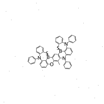 Cc1c2c(cc3c1N(c1ccccc1)c1cccc4c1B3Sc1ccccc1N4c1ccccc1)B1Sc3ccccc3N(c3ccccc3)c3cccc(c31)O2